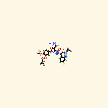 C[C@H](N)c1oc(-c2ccc(OC(F)F)c(OCC3CC3)c2)nc1C(=O)NC(C(=O)NC1CC1)c1ccc(F)cc1F